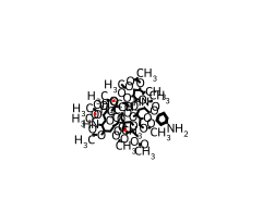 COC(=O)C1(OC2C(OC(C)=O)C(COC(C)=O)OC(OC3C(COC(C)=O)OC(Oc4ccc(N)cc4)[C@@H](NC(C)=O)C3OC3OC(C)C(OC(C)=O)C(OC(C)=O)C3OC(C)=O)C2OC(C)=O)CC(OC(C)=O)C(NC(C)=O)C([C@H](OC(C)=O)C(OC(C)=O)OC(C)=O)O1